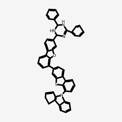 C1=Cc2c(c3ccccc3n2-c2cccc3c2sc2cc(-c4cccc5c4oc4cc(C6N=C(c7ccccc7)NC(c7ccccc7)N6)ccc45)ccc23)CC1